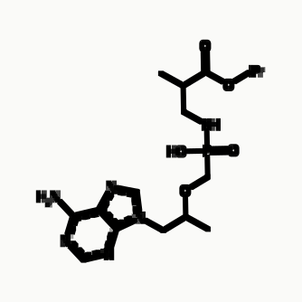 CC(C)OC(=O)C(C)CNP(=O)(O)COC(C)Cn1cnc2c(N)ncnc21